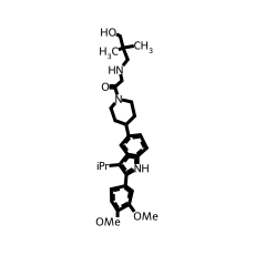 COc1ccc(-c2[nH]c3ccc(C4CCN(C(=O)CNCC(C)(C)CO)CC4)cc3c2C(C)C)cc1OC